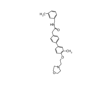 Cc1cccc(CNC(=O)Cc2ccc(-c3ccc(OCCN4CCOCC4)c(C)c3)cc2)c1